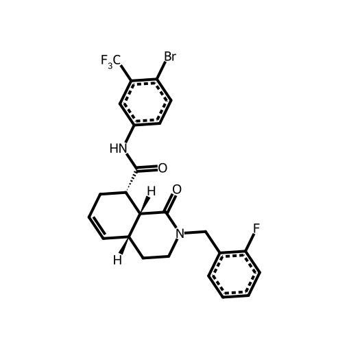 O=C(Nc1ccc(Br)c(C(F)(F)F)c1)[C@H]1CC=C[C@H]2CCN(Cc3ccccc3F)C(=O)[C@@H]12